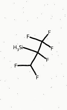 FC(F)C(F)([SiH3])C(F)(F)F